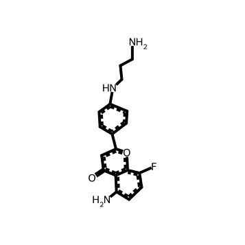 NCCCNc1ccc(-c2cc(=O)c3c(N)ccc(F)c3o2)cc1